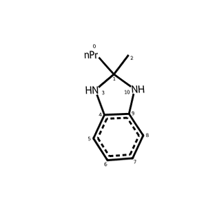 CCCC1(C)Nc2ccccc2N1